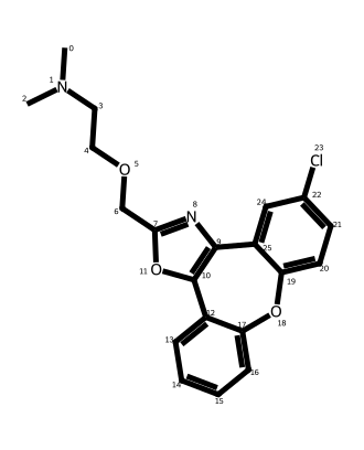 CN(C)CCOCc1nc2c(o1)-c1ccccc1Oc1ccc(Cl)cc1-2